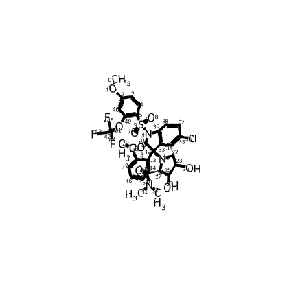 COc1ccc(S(=O)(=O)N2C(=O)C(c3ccccc3OC)(N3CC(O)C(O)[C@H]3C(=O)N(C)C)c3cc(Cl)ccc32)c(OC(F)(F)F)c1